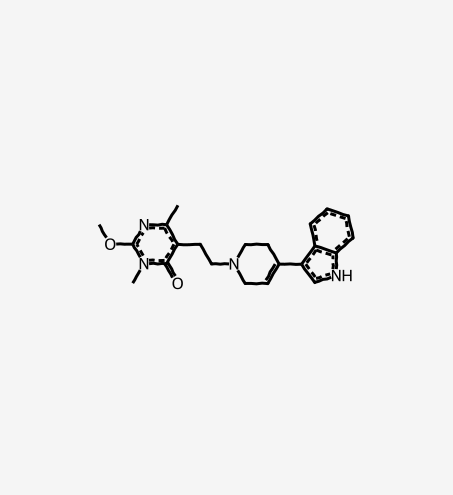 COc1nc(C)c(CCN2CC=C(c3c[nH]c4ccccc34)CC2)c(=O)n1C